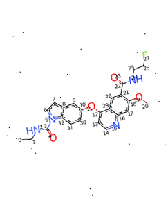 CCNC(=O)n1ccc2cc(Oc3ccnc4cc(OC)c(C(=O)NCCF)cc34)ccc21